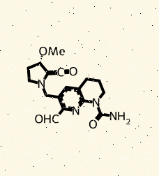 CO[C@H]1CCN(Cc2cc3c(nc2C=O)N(C(N)=O)CCC3)C1=C=O